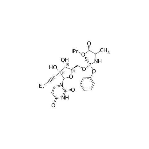 CCC#C[C@]1(O)C(n2ccc(=O)[nH]c2=O)O[C@H](COP(=S)(NC(C)C(=O)OC(C)C)Oc2ccccc2)[C@H]1O